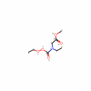 CCOOC(=O)N(CC)CC(=O)OC